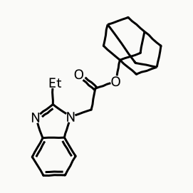 CCc1nc2ccccc2n1CC(=O)OC12CC3CC(CC(C3)C1)C2